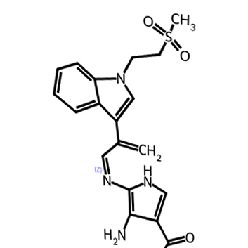 C=C(/C=N\c1[nH]cc(C(=O)C(C)(C)C)c1N)c1cn(CCS(C)(=O)=O)c2ccccc12